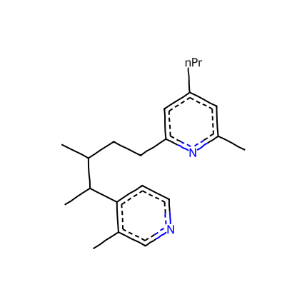 CCCc1cc(C)nc(CCC(C)C(C)c2ccncc2C)c1